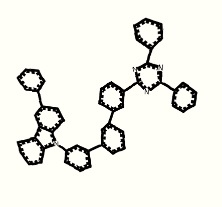 c1ccc(-c2ccc3c(c2)c2ccccc2n3-c2cccc(-c3cccc(-c4cccc(-c5nc(-c6ccccc6)nc(-c6ccccc6)n5)c4)c3)c2)cc1